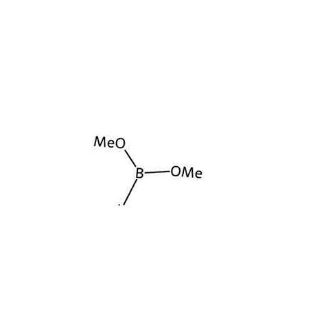 [CH2]B(OC)OC